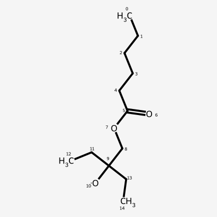 CCCCCC(=O)OCC([O])(CC)CC